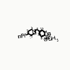 CCCC1CCN(Cc2ccc(S(C)(=O)=O)cc2)CC1